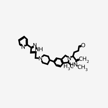 C=C(NC)C(CCC=O)N1Cc2cc(C3CCN(Cc4cc(-c5ccccn5)n[nH]4)CC3)ccc2C1C